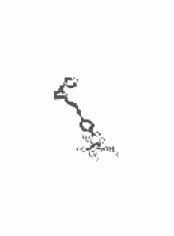 C[C@@H](O)[C@H](NC(=O)c1ccc(C#CC#Cc2ccc(CN3CCOCC3)s2)cc1)C(=O)NN